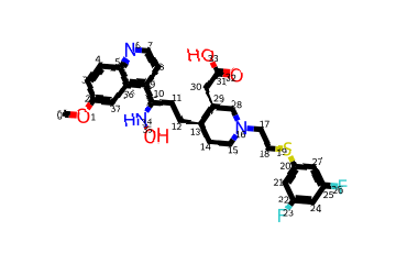 COc1ccc2nccc(C(CC[C@@H]3CCN(CCSc4cc(F)cc(F)c4)C[C@@H]3CC(=O)O)NO)c2c1